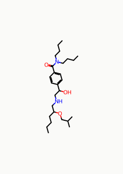 CCCCC(CNCC(O)c1ccc(C(=O)N(CCCC)CCCC)cc1)OCC(C)C